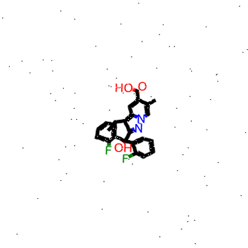 CCc1c(C(O)(c2ccccc2F)c2ccccc2F)nn2cc(C)c(C(=O)O)cc12